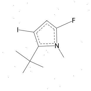 Cn1c(F)cc(I)c1C(C)(C)C